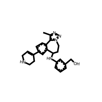 Cc1nnn2c1-c1ccc(C3=CCNCC3)cc1C(Nc1cccc(CO)c1)CC2